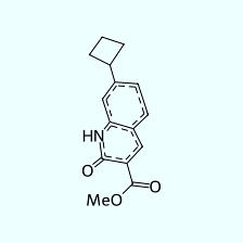 COC(=O)c1cc2ccc(C3CCC3)cc2[nH]c1=O